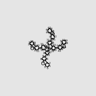 c1ccc2c(c1)oc1ccc(-c3ccc4c(c3)-c3cc(-c5ccc6oc7ccccc7c6c5)ccc3N3B4c4ccc(-c5ccc6oc7ccccc7c6c5)cc4-c4cc(-c5ccc6sc7ccccc7c6c5)ccc43)cc12